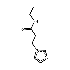 CCNC(=O)CCn1ccnc1